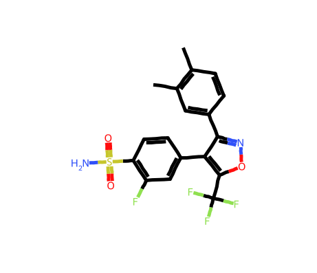 Cc1ccc(-c2noc(C(F)(F)F)c2-c2ccc(S(N)(=O)=O)c(F)c2)cc1C